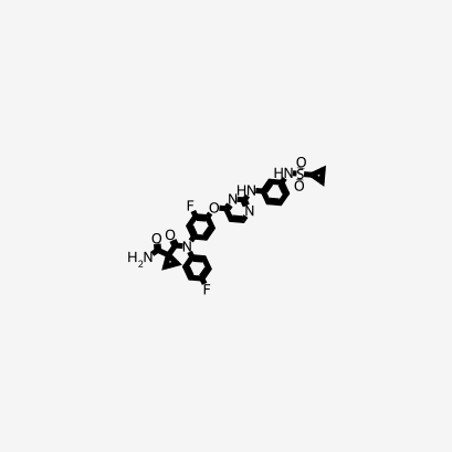 NC(=O)C1(C(=O)N(c2ccc(F)cc2)c2ccc(Oc3ccnc(Nc4cccc(NS(=O)(=O)C5CC5)c4)n3)c(F)c2)CC1